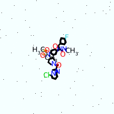 CNC(=O)c1c(-c2ccc(F)cc2)oc2cc(N(C)S(C)(=O)=O)c([C@H]3CCCN(C(=O)c4cn5c(Cl)cccc5n4)C3)cc12